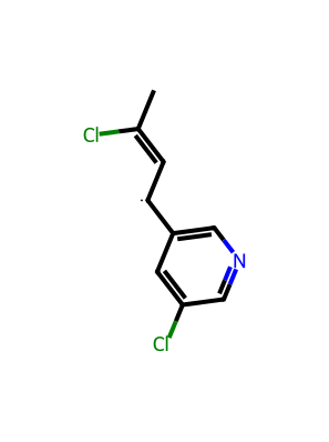 CC(Cl)=C[CH]c1cncc(Cl)c1